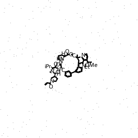 C=CC(=O)N1CC[C@H](C(=O)N(C)[C@H](C(=O)N[C@H]2Cc3cccc(c3)-c3ccc4c(c3)c(c(-c3cnccc3[C@H](C)OC)n4CC)CC(C)(C)COC(=O)[C@@H]3CCCN(N3)C2=O)C(C)C)C1